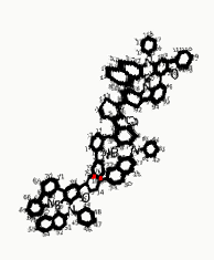 C1=Cc2c(oc3cc4c5c(c23)-c2cccc3c6ccccc6n(c23)B5c2c(ccc3ccc(C5=CC6Oc7c(cc8c9c7N(c7ccccc7)c7ccc%10ccccc%10c7B9n7c9ccccc9c9cccc-8c97)C6C=C5)cc23)N4c2ccccc2)C(c2ccc3c(c2)c2cccc4c2n3B2c3c(cc5c(oc6ccccc65)c3-4)N(c3ccccc3)c3ccc4ccccc4c32)C1